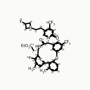 CCOC(=O)C[C@@H]1NC(=O)[C@H](n2cc(CCN3CC(F)C3)c(C(F)(F)F)cc2=O)c2cc(cc(C(F)(F)F)c2)Oc2cccc(C)c2-c2cc(C)c(F)c1c2